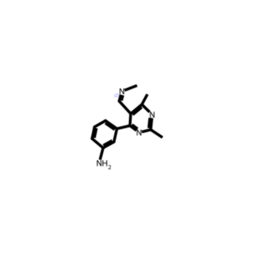 C/N=C\c1c(C)nc(C)nc1-c1cccc(N)c1